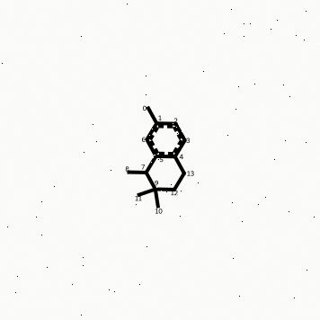 Cc1ccc2c(c1)C(C)C(C)(C)CC2